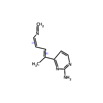 C=N/C=C\C=C(/C)c1ccnc(N)n1